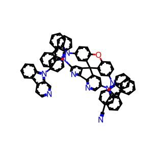 N#Cc1ccc2c(c1)c1ccccc1n2-c1ccc2c(c1)C1(c3cc(-n4c5ccccc5c5cc(-n6c7ccccc7c7ccncc76)ccc54)ccc3O2)c2cc(-n3c4ccccc4c4ccccc43)cnc2-c2ncc(-n3c4ccccc4c4ccccc43)cc21